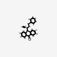 C#C[C@@H](CCc1ccccc1)C1c2ccccc2C(=O)c2ccccc21